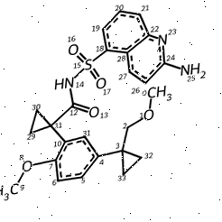 COCC1(c2ccc(OC)c(C3(C(=O)NS(=O)(=O)c4cccc5nc(N)ccc45)CC3)c2)CC1